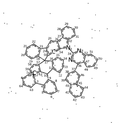 c1ccc(-c2ccccc2C2c3ccccc3C3(c4ccccc4-c4cc5c6ccccc6n(-c6nc(-c7ccc8ccccc8c7)c7ccccc7n6)c5cc43)c3ccccc32)cc1